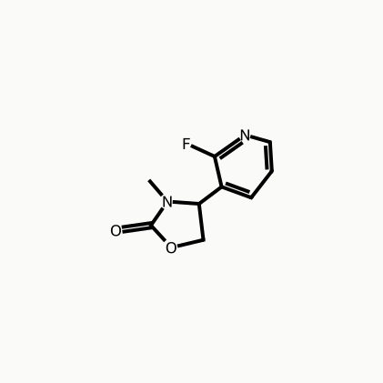 CN1C(=O)OCC1c1cccnc1F